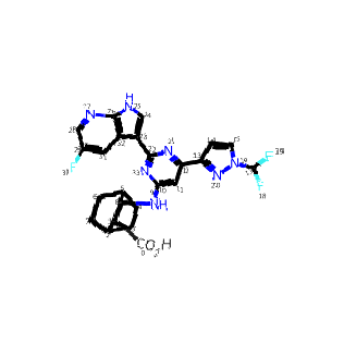 O=C(O)C1C2CCC(CC2)C1Nc1cc(-c2ccn(C(F)F)n2)nc(-c2c[nH]c3ncc(F)cc23)n1